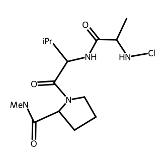 CNC(=O)C1CCCN1C(=O)C(NC(=O)C(C)NCl)C(C)C